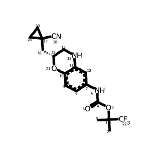 CC(C)(OC(=O)Nc1ccc2c(c1)NC[C@@H](CC1(C#N)CC1)O2)C(F)(F)F